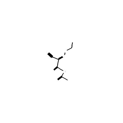 [CH2]C(=O)NC(=O)C(C#N)=NOCC